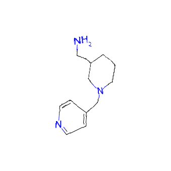 NCC1CCCN(Cc2ccncc2)C1